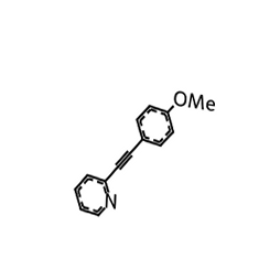 COc1ccc(C#Cc2ccccn2)cc1